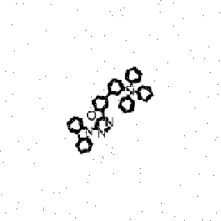 c1ccc([Si](c2ccccc2)(c2ccccc2)c2cccc(-c3ccc4oc5c(-n6c7ccccc7c7ccccc76)ncnc5c4c3)c2)cc1